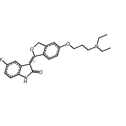 CCN(CC)CCCOc1ccc2c(c1)CO/C2=C1/C(=O)Nc2ccc(F)cc21